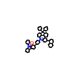 c1ccc(C2(c3ccccc3)c3ccccc3-c3c(N(c4ccc(-c5ccc6c7ccccc7n7c6c5Oc5ccccc5-7)cc4)c4ccc(-c5cccc6ccccc56)cc4)cccc32)cc1